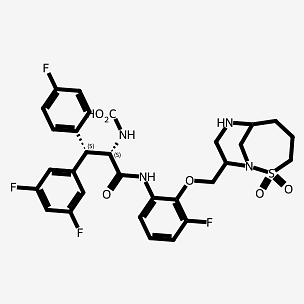 O=C(O)N[C@H](C(=O)Nc1cccc(F)c1OCC1CNC2CCCS(=O)(=O)N1C2)[C@@H](c1ccc(F)cc1)c1cc(F)cc(F)c1